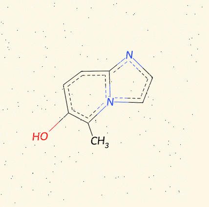 Cc1c(O)ccc2nccn12